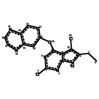 CCc1[nH]c2nc(Cl)nc(Oc3ccc4nccnc4c3)c2c1Cl